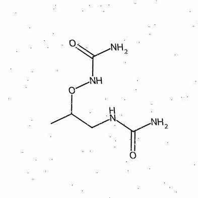 CC(CNC(N)=O)ONC(N)=O